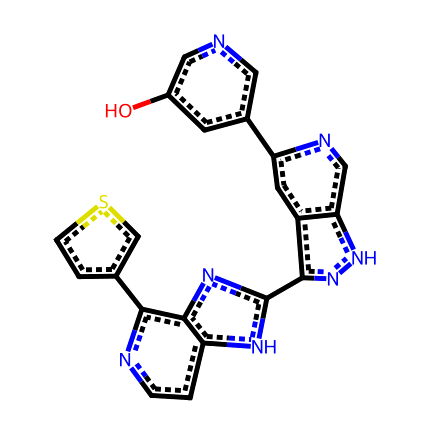 Oc1cncc(-c2cc3c(-c4nc5c(-c6ccsc6)nccc5[nH]4)n[nH]c3cn2)c1